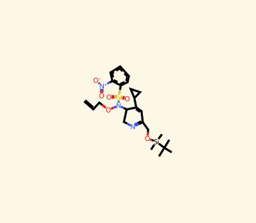 C=CCON(C1CN=C(CO[Si](C)(C)C(C)(C)C)C=C1C1CC1)S(=O)(=O)c1ccccc1[N+](=O)[O-]